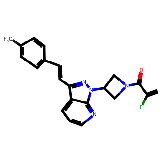 C=C(F)C(=O)N1CC(n2nc(C=Cc3ccc(C(F)(F)F)cc3)c3cccnc32)C1